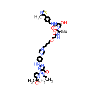 C=CCn1c(=O)c2cnc(Nc3ccc(N4CCN(CCCCCOCCC(=O)N[C@H](C(=O)N5C[C@H](O)C[C@H]5C(=O)NCc5ccc(-c6scnc6C)cc5)C(C)(C)C)CC4)cc3)nc2n1-c1cccc(C(C)(C)O)n1